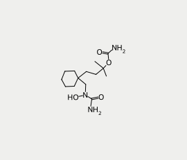 CC(C)(CCC1(CN(O)C(N)=O)CCCCC1)OC(N)=O